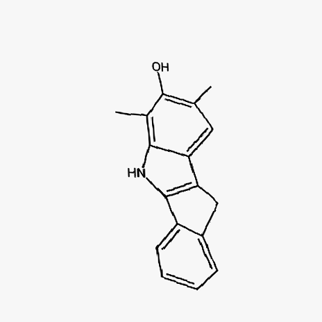 Cc1cc2c3c([nH]c2c(C)c1O)-c1ccccc1C3